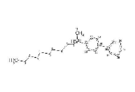 CCCCCCCCCC[SiH](C)c1ccc(-c2ccccc2)cc1